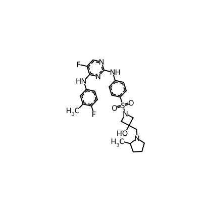 Cc1cc(Nc2nc(Nc3ccc(S(=O)(=O)N4CC(O)(CN5CCCC5C)C4)cc3)ncc2F)ccc1F